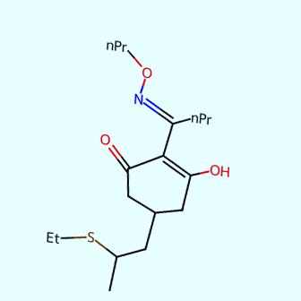 CCCON=C(CCC)C1=C(O)CC(CC(C)SCC)CC1=O